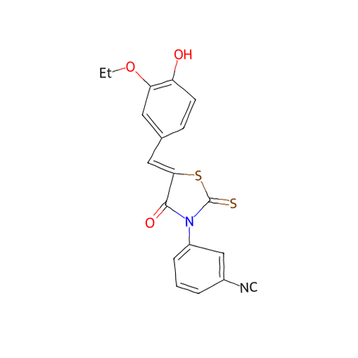 [C-]#[N+]c1cccc(N2C(=O)/C(=C/c3ccc(O)c(OCC)c3)SC2=S)c1